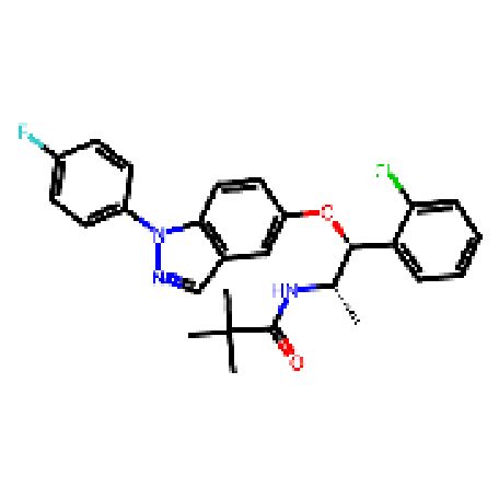 C[C@H](NC(=O)C(C)(C)C)[C@@H](Oc1ccc2c(cnn2-c2ccc(F)cc2)c1)c1ccccc1Cl